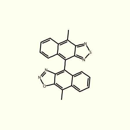 Cc1c2ccccc2c(-c2c3ccccc3c(C)c3onnc23)c2nsnc12